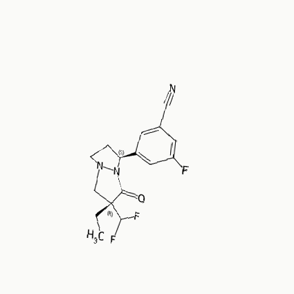 CC[C@@]1(C(F)F)CN2CC[C@@H](c3cc(F)cc(C#N)c3)N2C1=O